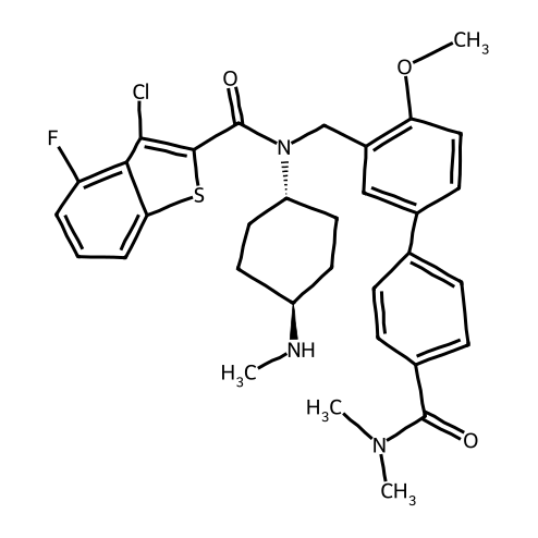 CN[C@H]1CC[C@H](N(Cc2cc(-c3ccc(C(=O)N(C)C)cc3)ccc2OC)C(=O)c2sc3cccc(F)c3c2Cl)CC1